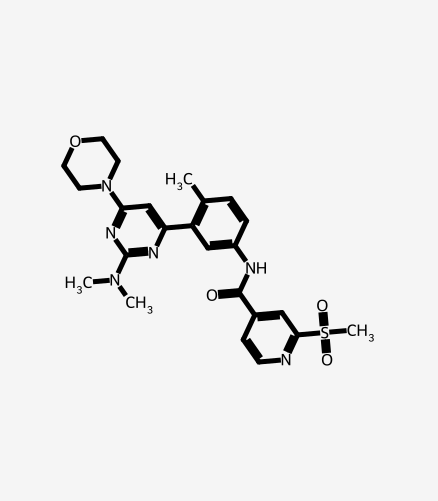 Cc1ccc(NC(=O)c2ccnc(S(C)(=O)=O)c2)cc1-c1cc(N2CCOCC2)nc(N(C)C)n1